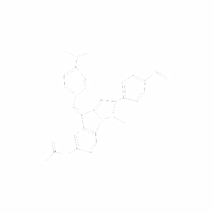 C=Nc1ccc(C2C=c3/c(=C\c4ccc(N(C)C)cc4)c4cc(OC(C)=O)ccc4n3N2C)cc1